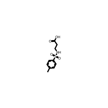 Cc1ccc(S(=O)(=O)NCCC(=O)O)cc1